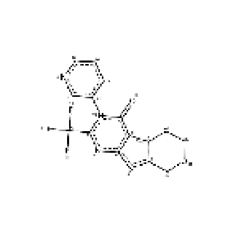 O=c1c2c3c(sc2nc(C(F)(F)F)n1-c1cccnc1)COCC3